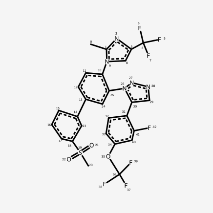 Cc1nc(C(F)(F)F)cn1-c1ccc(-c2cccc(S(C)(=O)=O)c2)cc1-n1nncc1-c1ccc(OC(F)(F)F)cc1F